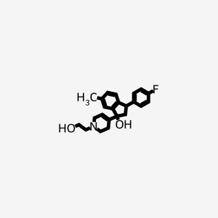 Cc1ccc2c(c1)C(O)(C1=CCN(CCO)CC1)CC2c1ccc(F)cc1